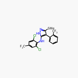 CSc1n[nH]c(Nc2c(Cl)cc(C(F)(F)F)cc2Cl)c1-c1ccccc1C(F)(F)F